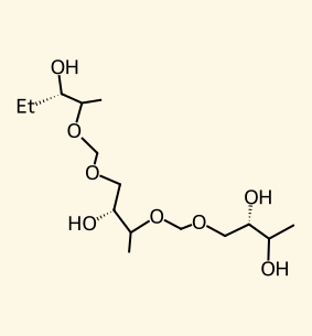 CC[C@H](O)C(C)OCOC[C@@H](O)C(C)OCOC[C@H](O)C(C)O